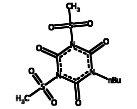 CCCCn1c(=O)n(S(C)(=O)=O)c(=O)n(S(C)(=O)=O)c1=O